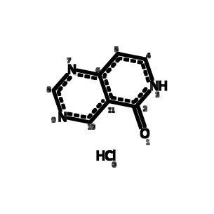 Cl.O=c1[nH]ccc2ncncc12